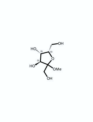 COC1(CO)O[C@@H](CO)[C@@H](O)[C@@H]1O